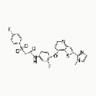 Cn1ccnc1-c1cc2nccc(Oc3ccc(NC(=O)CS(=O)(=O)c4ccc(F)cc4)cc3F)c2s1